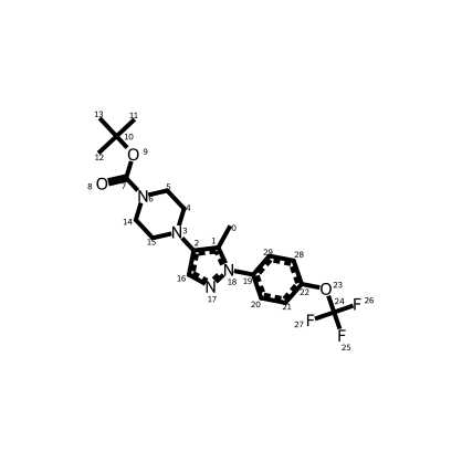 Cc1c(N2CCN(C(=O)OC(C)(C)C)CC2)cnn1-c1ccc(OC(F)(F)F)cc1